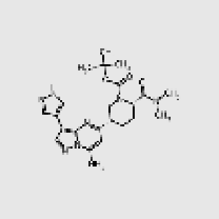 CN(C)C(=O)[C@@H]1CC[C@H](c2cc(N)n3ncc(-c4cn[nH]c4)c3n2)CN1C(=O)OC(C)(C)C